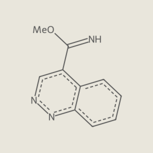 COC(=N)c1cnnc2ccccc12